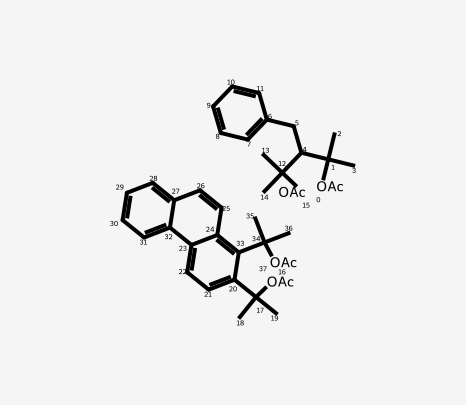 CC(=O)OC(C)(C)C(Cc1ccccc1)C(C)(C)OC(C)=O.CC(=O)OC(C)(C)c1ccc2c(ccc3ccccc32)c1C(C)(C)OC(C)=O